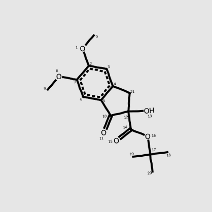 COc1cc2c(cc1OC)C(=O)C(O)(C(=O)OC(C)(C)C)C2